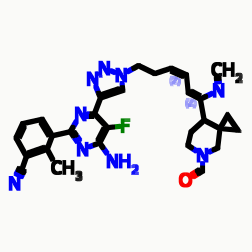 C=N/C(=C\C=C/CCn1cc(-c2nc(-c3cccc(C#N)c3C)nc(N)c2F)nn1)C1CCN(C=O)CC12CC2